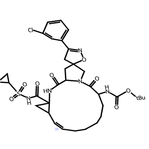 CC(C)(C)OC(=O)NC1CCCCC/C=C\C2CC2(C(=O)NS(=O)(=O)C2CC2)NC(=O)C2CC3(CC(c4cccc(Cl)c4)=NO3)CN2C1=O